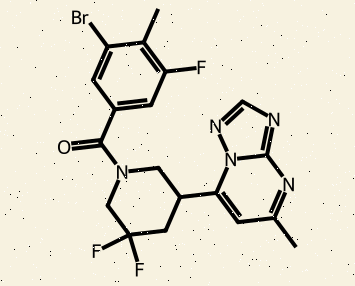 Cc1cc(C2CN(C(=O)c3cc(F)c(C)c(Br)c3)CC(F)(F)C2)n2ncnc2n1